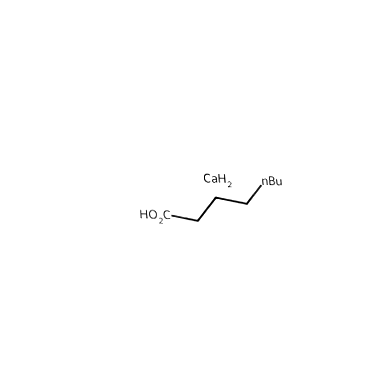 CCCCCCCC(=O)O.[CaH2]